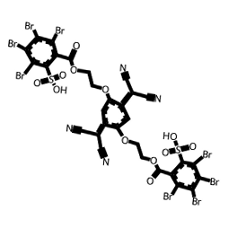 N#CC(C#N)=c1cc(OCCOC(=O)c2c(Br)c(Br)c(Br)c(Br)c2S(=O)(=O)O)c(=C(C#N)C#N)cc1OCCOC(=O)c1c(Br)c(Br)c(Br)c(Br)c1S(=O)(=O)O